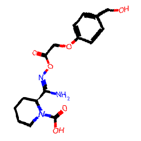 N/C(=N\OC(=O)COc1ccc(CO)cc1)[C@@H]1CCCCN1C(=O)O